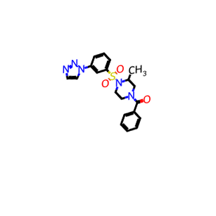 CC1CN(C(=O)c2ccccc2)CCN1S(=O)(=O)c1cccc(-n2ccnn2)c1